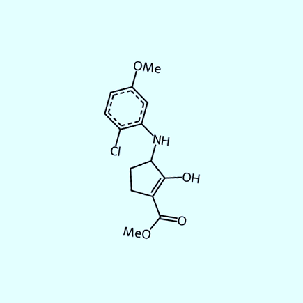 COC(=O)C1=C(O)C(Nc2cc(OC)ccc2Cl)CC1